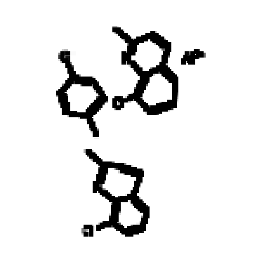 Cc1ccc([O-])cc1.Cc1ccc2cccc([O-])c2n1.Cc1ccc2cccc([O-])c2n1.[Al+3]